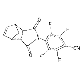 N#Cc1c(F)c(F)c(N2C(=O)C3C4C=CC(C4)C3C2=O)c(F)c1F